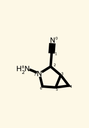 N#CC1C2CC2CN1N